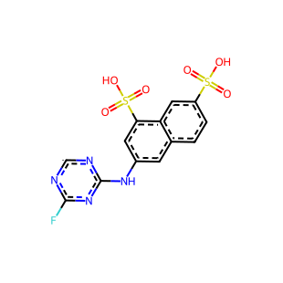 O=S(=O)(O)c1ccc2cc(Nc3n[c]nc(F)n3)cc(S(=O)(=O)O)c2c1